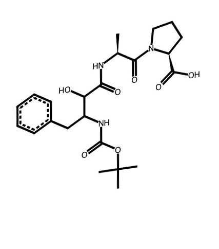 C[C@H](NC(=O)C(O)C(Cc1ccccc1)NC(=O)OC(C)(C)C)C(=O)N1CCC[C@H]1C(=O)O